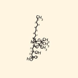 CCCCCCCCCCC[C@@H](C[C@H](O)CC(=O)O)O[Si](C)(C)C(C)(C)C